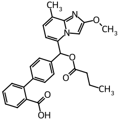 CCCC(=O)OC(c1ccc(-c2ccccc2C(=O)O)cc1)c1ccc(C)c2nc(OC)cn12